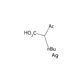 CCCCC(C(C)=O)C(=O)O.[Ag]